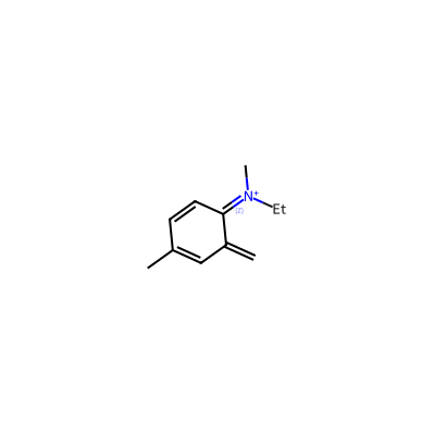 C=C1C=C(C)C=C/C1=[N+](\C)CC